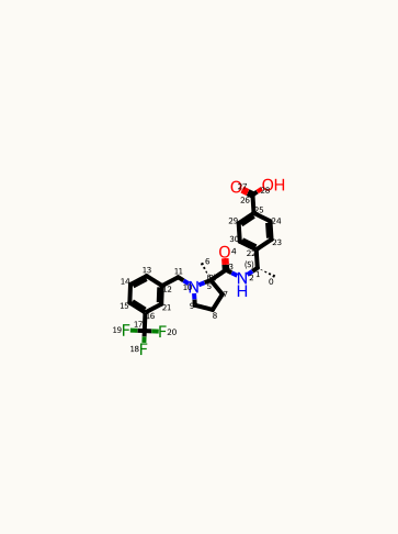 C[C@H](NC(=O)[C@@]1(C)CCCN1Cc1cccc(C(F)(F)F)c1)c1ccc(C(=O)O)cc1